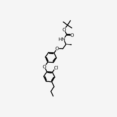 CCCc1ccc(Oc2ccc(OC[C@H](C)NC(=O)OC(C)(C)C)cc2)c(Cl)c1